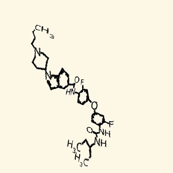 CCCCN1CCC(n2ccc3cc(C(=O)Nc4ccc(Oc5ccc(NC(=O)NC(CC)CC)c(F)c5)cc4F)ccc32)CC1